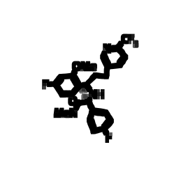 CNC(=O)[C@@H](N[C@H](CCc1ccc(C(F)(F)F)nc1)c1ccc(F)cc1OC)c1ccc(F)cc1